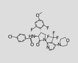 COc1cc(F)c([C@@H]2CN(c3nccc(N4CCOCC4)c3C(F)(F)F)C(=O)[C@H]2NC(=O)c2ccc(Cl)cc2)c(F)c1